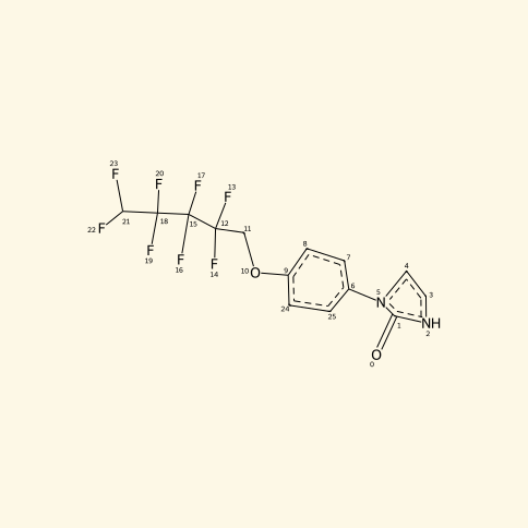 O=c1[nH]ccn1-c1ccc(OCC(F)(F)C(F)(F)C(F)(F)C(F)F)cc1